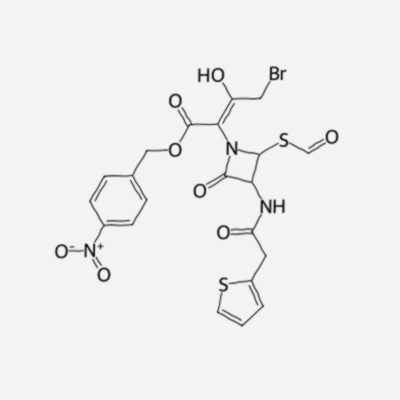 O=CSC1C(NC(=O)Cc2cccs2)C(=O)N1C(C(=O)OCc1ccc([N+](=O)[O-])cc1)=C(O)CBr